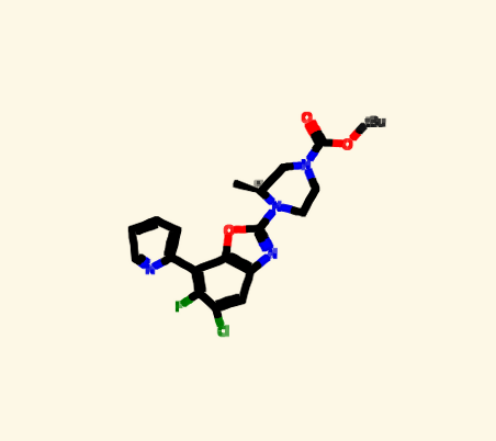 C[C@H]1CN(C(=O)OC(C)(C)C)CCN1c1nc2cc(Cl)c(F)c(-c3ccccn3)c2o1